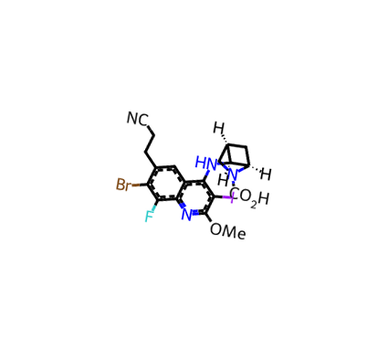 COc1nc2c(F)c(Br)c(CCC#N)cc2c(N[C@H]2[C@@H]3C[C@H]2N(C(=O)O)C3)c1I